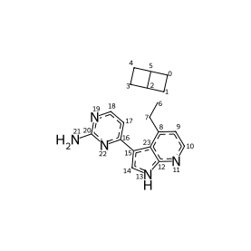 C1CC2CCC12.CCc1ccnc2[nH]cc(-c3ccnc(N)n3)c12